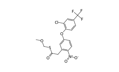 COCSC(=O)Cc1cc(Oc2ccc(C(F)(F)F)cc2Cl)ccc1[N+](=O)[O-]